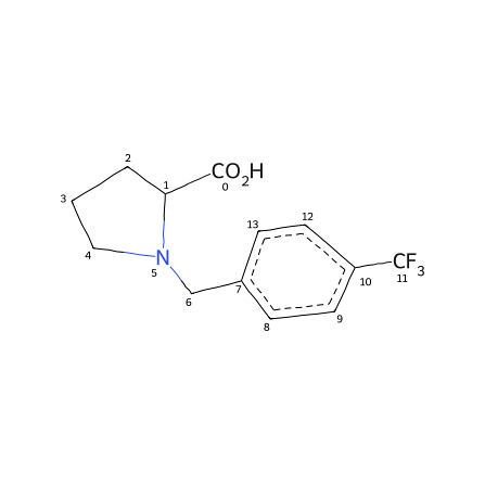 O=C(O)C1CCCN1Cc1ccc(C(F)(F)F)cc1